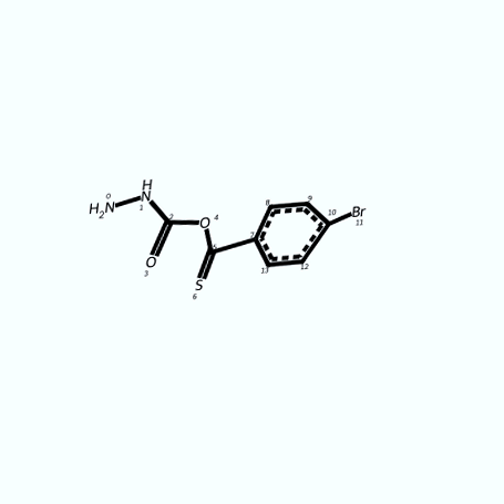 NNC(=O)OC(=S)c1ccc(Br)cc1